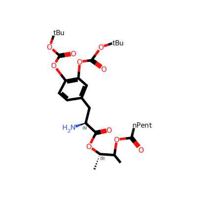 CCCCCC(=O)OC(C)[C@H](C)OC(=O)[C@@H](N)Cc1ccc(OC(=O)OC(C)(C)C)c(OC(=O)OC(C)(C)C)c1